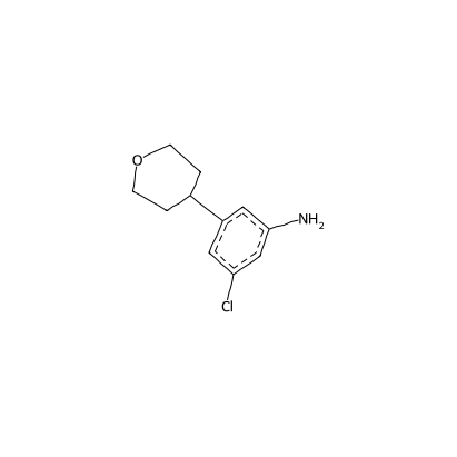 Nc1cc(Cl)cc(C2CCOCC2)c1